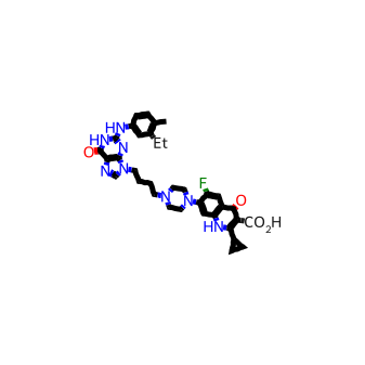 CCc1cc(Nc2nc3c(ncn3CCCCN3CCN(c4cc5[nH]c(C6CC6)c(C(=O)O)c(=O)c5cc4F)CC3)c(=O)[nH]2)ccc1C